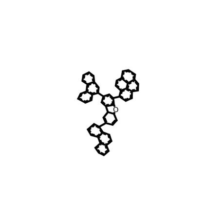 C1=CC2Oc3c(-c4ccc5ccc6cccc7ccc4c5c67)cc(-c4cc5ccccc5c5ccccc45)cc3C2C=C1c1cccc2c1ccc1ccccc12